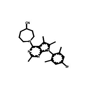 Cc1nc(N2CCCC(C#N)CC2)c2c(C)c(C)n(-c3c(C)cc(Br)cc3C)c2n1